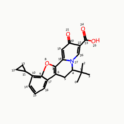 CC(C)(C)C1Cc2c(oc3c(C4CC4)cccc23)-c2cc(=O)c(C(=O)O)cn21